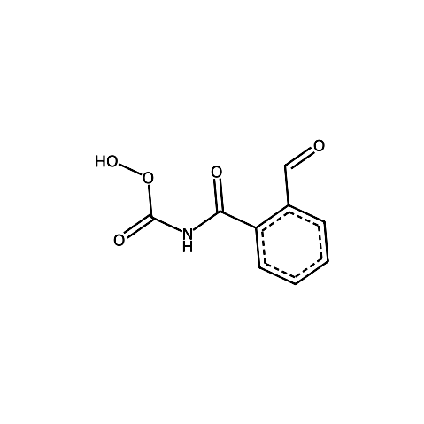 O=Cc1ccccc1C(=O)NC(=O)OO